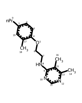 CCCc1ccc(OCCNc2ncnc(C)c2C)c(C)c1